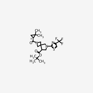 CC(C)(C)OC(=O)C1CN(c2nc(C(F)(F)F)cs2)CC12CN(C(=O)[C@H]1CC1(C)C)C2